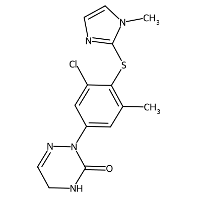 Cc1cc(N2N=CCNC2=O)cc(Cl)c1Sc1nccn1C